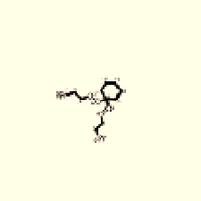 CC(C)CCOOC1(OOCCC(C)C)CCCCC1